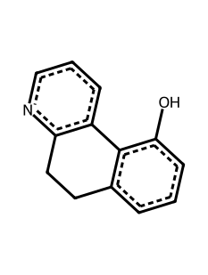 Oc1cccc2c1-c1cccnc1CC2